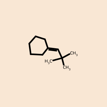 CC(C)(C)C=C1CCCCC1